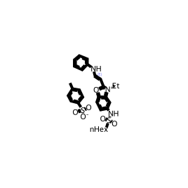 CCCCCCS(=O)(=O)Nc1ccc2oc(/C=C/Nc3ccccc3)[n+](CC)c2c1.Cc1ccc(S(=O)(=O)[O-])cc1